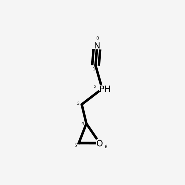 N#CPCC1CO1